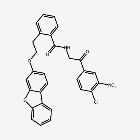 O=C(CNC(=O)c1ccccc1CCOc1ccc2c(c1)sc1ccccc12)c1ccc(Cl)c([N+](=O)[O-])c1